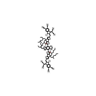 CCCCC(C)CC1(CC(CC)CCCC)c2cc(/C=C3\C(=O)c4cc(C#N)c(C#N)cc4C3=C(C#N)C#N)sc2-c2sc(-c3c4c(c(-c5cc6c(s5)-c5sc(/C=C7\C(=O)c8cc(C#N)c(C#N)cc8C7=C(C#N)C#N)cc5C6(CC(CC)CCCC)CC(CC)CCCC)c5nn(CC(CC)CCCC)nc35)N=S=N4)cc21